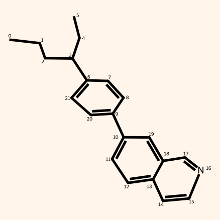 CCCC(CC)c1ccc(-c2ccc3ccncc3c2)cc1